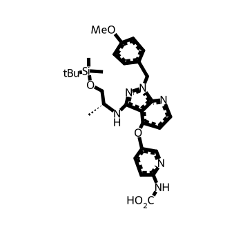 COc1ccc(Cn2nc(N[C@H](C)CO[Si](C)(C)C(C)(C)C)c3c(Oc4ccc(NC(=O)O)nc4)ccnc32)cc1